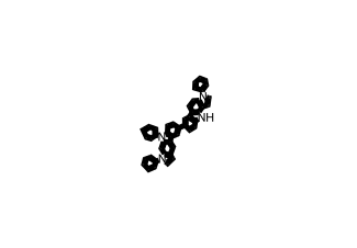 c1ccc(-n2ccc3cc4c5cc(-c6ccc7[nH]c8c(ccc9c8ccn9-c8ccccc8)c7c6)ccc5n(-c5ccccc5)c4cc32)cc1